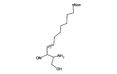 CCCCCCCCCCCCCCC/C=C/C(N=O)C(N)CO